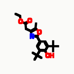 CCOC(=O)Cc1nc(-c2cc(C(C)(C)C)c(O)c(C(C)(C)C)c2)oc1C